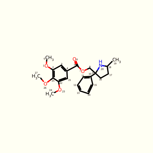 COc1cc(C(=O)OCC2(c3ccccc3)CCC(C)N2)cc(OC)c1OC